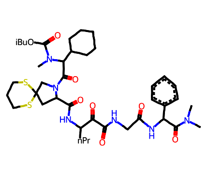 CCCC(NC(=O)C1CC2(CN1C(=O)C(C1CCCCC1)N(C)C(=O)OCC(C)C)SCCCS2)C(=O)C(=O)NCC(=O)NC(C(=O)N(C)C)c1ccccc1